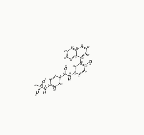 CS(=O)(=O)Nc1ccc(C(=O)Nc2ccc(Cl)c(-c3nccc4ccccc34)c2)cn1